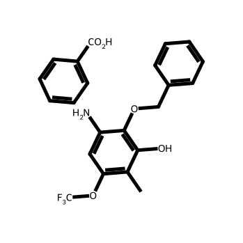 Cc1c(OC(F)(F)F)cc(N)c(OCc2ccccc2)c1O.O=C(O)c1ccccc1